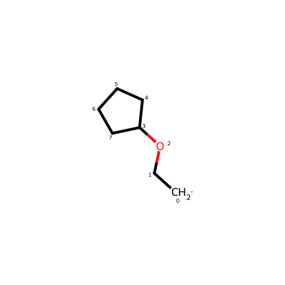 [CH2]COC1CCCC1